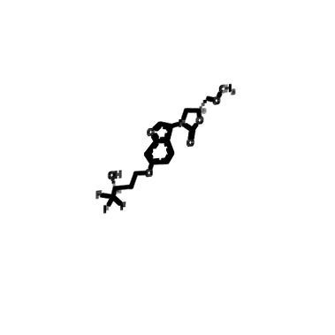 COC[C@H]1CN(c2coc3cc(OCC[C@@H](O)C(F)(F)F)ccc23)C(=O)O1